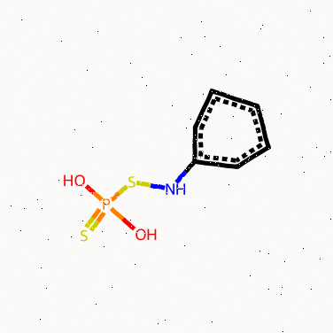 OP(O)(=S)SNc1ccccc1